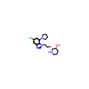 O[C@H]1CCCN[C@@H]1CCCn1cnc2cc(Cl)cc(N3CCCC3)c21